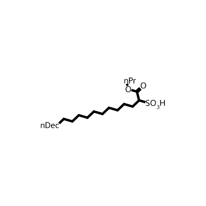 CCCCCCCCCCCCCCCCCCCCC(C(=O)OCCC)S(=O)(=O)O